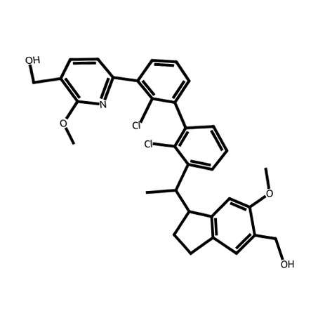 COc1cc2c(cc1CO)CCC2C(C)c1cccc(-c2cccc(-c3ccc(CO)c(OC)n3)c2Cl)c1Cl